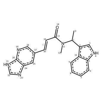 CC(c1c[nH]c2ccccc12)N(C)C(=O)/C=C/c1cnc2[nH]cnc2c1